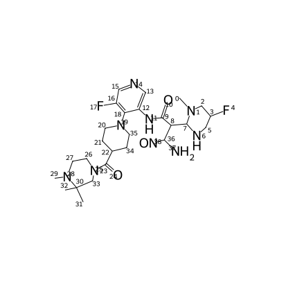 CN1CC(F)CNC1C(C(=O)Nc1cncc(F)c1N1CCC(C(=O)N2CCN(C)C(C)(C)C2)CC1)C(N)N=O